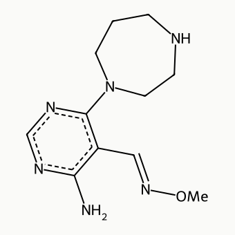 CON=Cc1c(N)ncnc1N1CCCNCC1